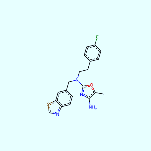 Cc1oc(N(CCc2ccc(Cl)cc2)Cc2ccc3ncsc3c2)nc1N